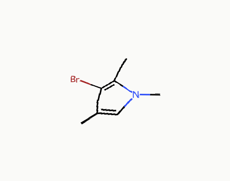 Cc1cn(C)c(C)c1Br